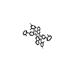 Cc1cc(C)c(B2c3cc(-c4ccccc4C)ccc3N3c4cc5ccccc5c5c4N(c4ccc(-c6ccccc6C)cc4B5c4c(C)cc(C)cc4C)c4cc5ccccc5c2c43)c(C)c1